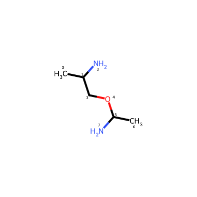 CC(N)COC(C)N